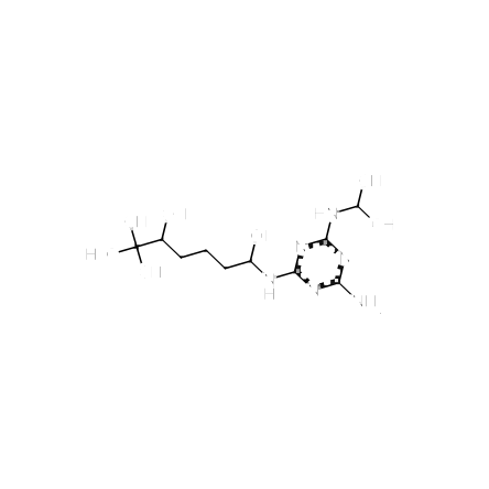 CC(C)Nc1nc(N)nc(NC(O)CCCC(O)C(C)(C)C)n1